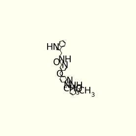 COc1ccccc1Nc1nc2cc(Oc3ccnc(C(=O)NCCc4c[nH]c5ccccc45)c3)ccc2n1C